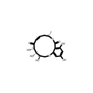 C[C@H]1C/C=C\C(=O)[C@@H](O)[C@@H](O)[C@H](O)COc2cc(O)cc(O)c2C(=O)O1